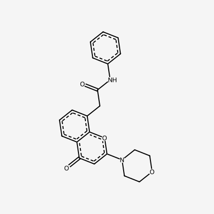 O=C(Cc1cccc2c(=O)cc(N3CCOCC3)oc12)Nc1ccccc1